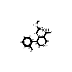 COC(=O)C[C@H]1C(C(C)O)CNC[C@H]1c1ccccc1C